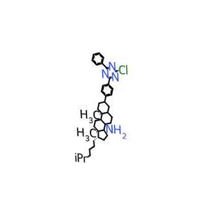 CC(C)CCCC[C@H]1CCC2[C@]3(N)CCC4CC(c5ccc(-c6nc(Cl)nc(-c7ccccc7)n6)cc5)CC[C@]4(C)C3CC[C@@]21C